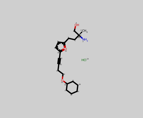 C[C@](N)(CO)CCc1ccc(C#CCCOC2CCCCC2)o1.Cl